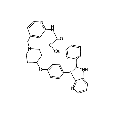 CC(C)(C)OC(=O)Nc1cc(CN2CCC(Oc3ccc(N4c5ncccc5NC4c4ccccn4)cc3)CC2)ccn1